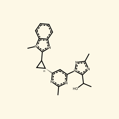 Cc1nc([C@@H]2CC2c2nc3ccccc3n2C)cc(-n2nc(C)nc2C(C)O)n1